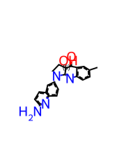 Cc1ccc2c(c1)C(=O)[C@]1(O)CCN(c3ccc4nc(N)ccc4c3)C1=N2